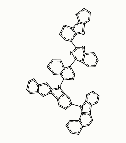 c1ccc2cc3c(cc2c1)c1ccc(-n2c4ccccc4c4ccc5ccccc5c42)cc1n3-c1ccc(-c2nc(-c3cccc4c3oc3ccccc34)nc3ccccc23)c2ccccc12